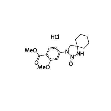 COC(=O)c1ccc(N2CC3(CCCCC3)N[N+]2=O)cc1OC.Cl